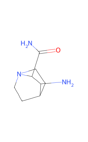 NC(=O)C1C(N)C2CCN1CC2